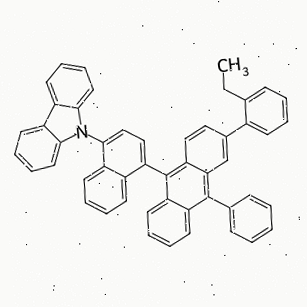 CCc1ccccc1-c1ccc2c(-c3ccc(-n4c5ccccc5c5ccccc54)c4ccccc34)c3ccccc3c(-c3ccccc3)c2c1